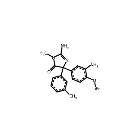 Cc1cccc(C2(c3ccc(OC(C)C)c(C)c3)N=C(N)N(C)C2=O)c1